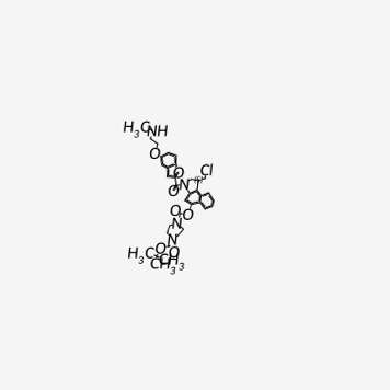 CNCCOc1ccc2oc(C(=O)N3C[C@@H](CCl)c4c3cc(OC(=O)N3CCN(C(=O)OC(C)(C)C)CC3)c3ccccc43)cc2c1